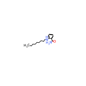 CCCCCCCCCNc1ccccc1C(N)=O